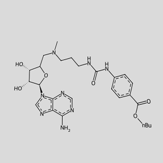 CCCCOC(=O)c1ccc(NC(=O)NCCCN(C)CC2O[C@@H](n3cnc4c(N)ncnc43)[C@H](O)[C@@H]2O)cc1